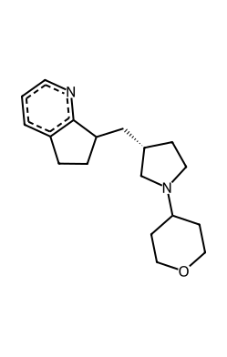 c1cnc2c(c1)CCC2C[C@@H]1CCN(C2CCOCC2)C1